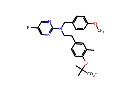 CCc1cnc(N(CCc2ccc(OC(C)(C)C(=O)O)c(C)c2)Cc2ccc(OC(F)(F)F)cc2)nc1